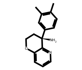 Cc1ccc([C@@]2(N)CCOc3cccnc32)cc1C